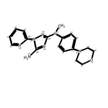 CN(c1ccc(N2CCOCC2)cc1)c1nc(N)n(-c2ccccn2)n1